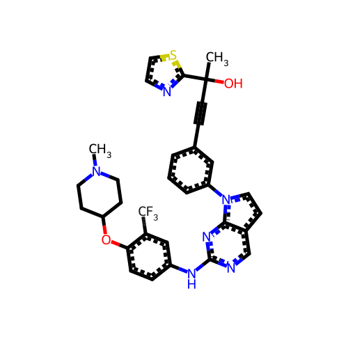 CN1CCC(Oc2ccc(Nc3ncc4ccn(-c5cccc(C#CC(C)(O)c6nccs6)c5)c4n3)cc2C(F)(F)F)CC1